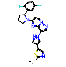 Cc1ncc(-c2cnn(-c3cnn4ccc(N5CCC[C@H]5c5cc(F)ccc5F)nc34)c2)s1